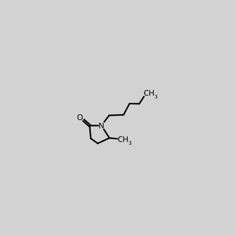 CCCCCN1C(=O)CCC1C